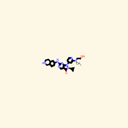 CN(CCO)c1cc(-n2c3nc(Nc4ccc5c(c4)CCNC5)ncc3c(=O)n2C2CC2)ccn1